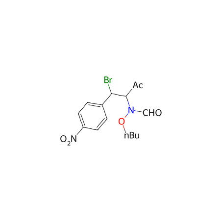 CCCCON(C=O)C(C(C)=O)C(Br)c1ccc([N+](=O)[O-])cc1